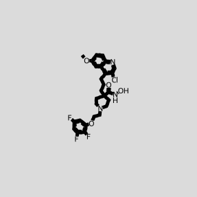 COc1ccc2ncc(Cl)c(CCCC3(C(=O)NO)CCN(CCOc4cc(F)cc(F)c4F)CC3)c2c1